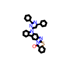 O=c1c2ccccc2sc2nc3cc4c(cc3n12)c1ccccc1n4-c1cc(-c2ccccc2)nc(-c2ccccc2)n1